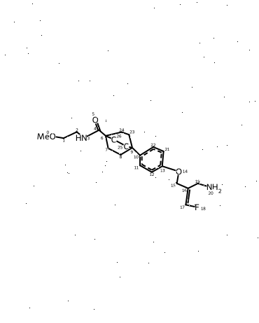 COCCNC(=O)C12CCC(c3ccc(OCC(=CF)CN)cc3)(CC1)CC2